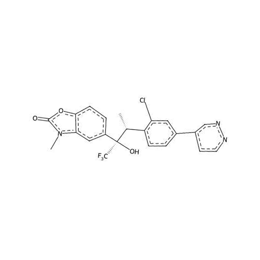 C[C@H](c1ccc(-c2ccnnc2)cc1Cl)[C@@](O)(c1ccc2oc(=O)n(C)c2c1)C(F)(F)F